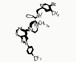 Cc1cc(CNC(=O)[C@H]2CN(c3ncnc4nn(-c5ccc(C(F)(F)F)cc5)cc34)CCN2C)ncc1Br